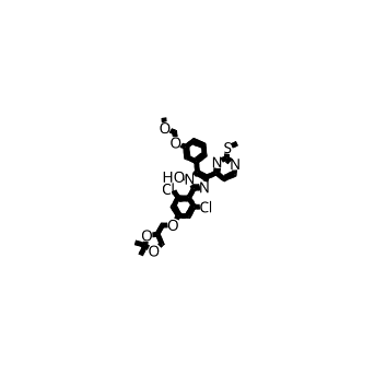 COCOc1cccc(-c2c(-c3ccnc(SC)n3)nc(-c3c(Cl)cc(OCC4COC(C)(C)O4)cc3Cl)n2O)c1